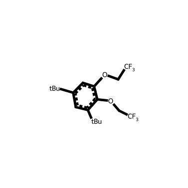 CC(C)(C)c1cc(OCC(F)(F)F)c(OCC(F)(F)F)c(C(C)(C)C)c1